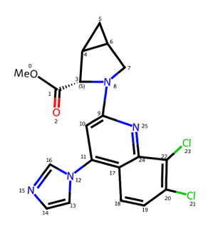 COC(=O)[C@@H]1C2CC2CN1c1cc(-n2ccnc2)c2ccc(Cl)c(Cl)c2n1